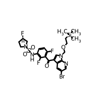 C[Si](C)(C)CCOCn1cc(C(=O)c2c(F)ccc(NS(=O)(=O)N3CC[C@@H](F)C3)c2F)c2cc(Br)cnc21